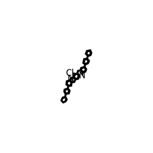 Clc1c2c(cc3c1=Nc1ccc(-c4ccc(C5=CCCC=C5)cc4)cc1C3)=Nc1ccc(-c3ccc(-c4ccccc4)cc3)cc1C2